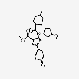 COC(=O)c1sc(C2=CCC(=O)CC2)cc1N(C(=O)C1CCC(C)CC1)C1CCC(OC)C1